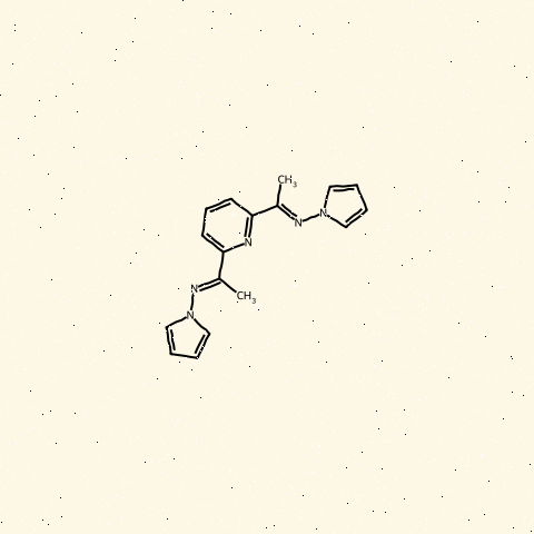 C/C(=N\n1cccc1)c1cccc(/C(C)=N/n2cccc2)n1